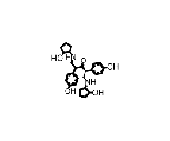 O=C(C(CNC1CCCC1O)c1ccc(O)cc1)C(CNC1CCCC1O)c1ccc(O)cc1